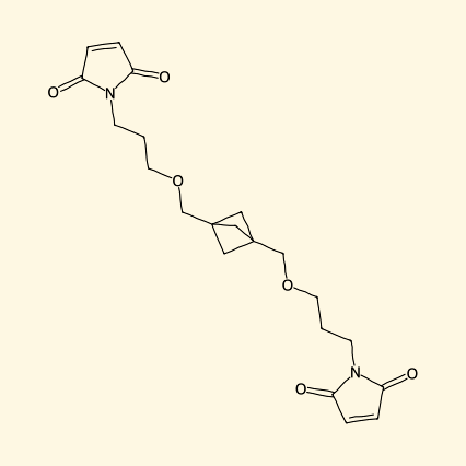 O=C1C=CC(=O)N1CCCOCC12CC(COCCCN3C(=O)C=CC3=O)(C1)C2